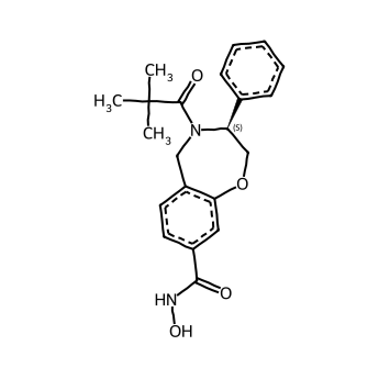 CC(C)(C)C(=O)N1Cc2ccc(C(=O)NO)cc2OC[C@@H]1c1ccccc1